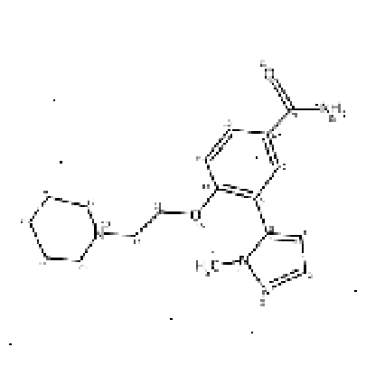 Cn1nccc1-c1cc(C(N)=O)ccc1OCCN1CCCCC1